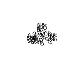 CC(C)(NC(=O)C(Br)(Br)Br)C(=O)OCC(COC(=O)C(C)(C)NC(=O)C(Br)(Br)Br)(COC(=O)C(C)(C)NC(=O)C(Br)(Br)Br)COC(=O)C(C)(C)NC(=O)C(Br)(Br)Br